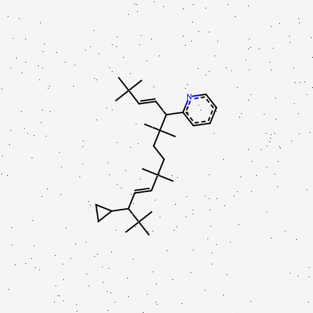 CC(C)(C)/C=C/C(c1ccccn1)C(C)(C)CCC(C)(C)/C=C/C(C1CC1)C(C)(C)C